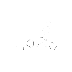 COC(=O)c1ccc2[nH]c([C@H](Cc3ccccc3)NC(=O)C3CCC(CN)CC3)nc2c1